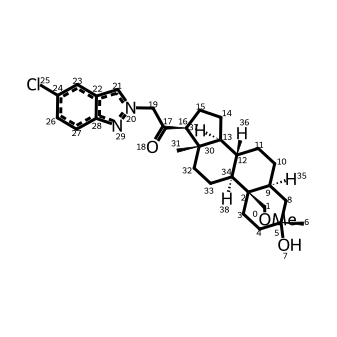 COC[C@]12CC[C@@](C)(O)C[C@@H]1CC[C@H]1[C@@H]3CC[C@H](C(=O)Cn4cc5cc(Cl)ccc5n4)[C@@]3(C)CC[C@@H]12